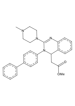 COC(=O)CC1c2ccccc2N=C(N2CCN(C)CC2)N1c1ccc(-c2ccccc2)cc1